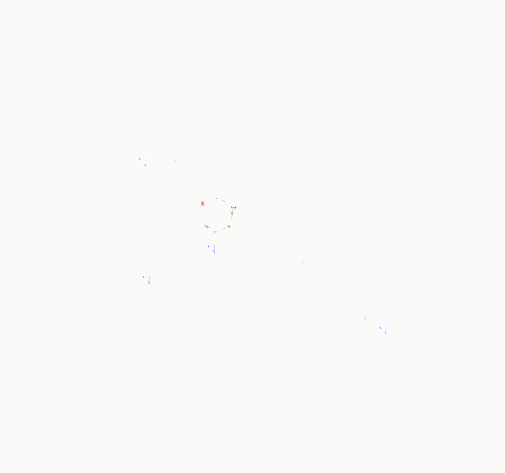 c1ccc(N(c2ccccc2)c2ccc(N(c3ccccc3)c3cccc4c(-c5ccc(-c6ccc7ncccc7c6)cc5)c5ccccc5c(-c5ccc(-c6ccc7ncccc7c6)cc5)c34)cc2)cc1